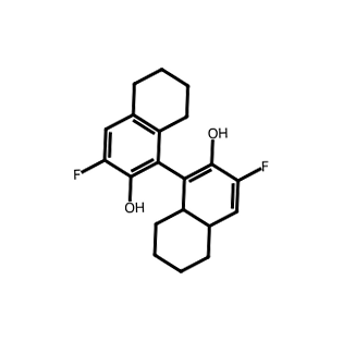 OC1=C(c2c(O)c(F)cc3c2CCCC3)C2CCCCC2C=C1F